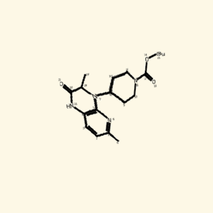 Cc1ccc2c(n1)N(C1CCN(C(=O)OC(C)(C)C)CC1)C(C)C(=O)N2